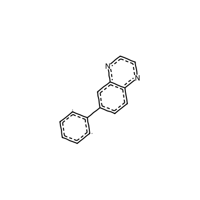 [c]1ccc[c]c1-c1ccc2nccnc2c1